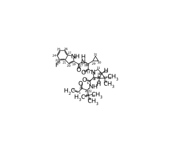 C=CC(=O)[C@@H](NC(=O)[C@@H]1[C@@H]2[C@H](CN1C(=O)[C@@H](NC(=O)c1cc3c(F)cccc3[nH]1)C1CC1)C2(C)C)C(C)(C)C